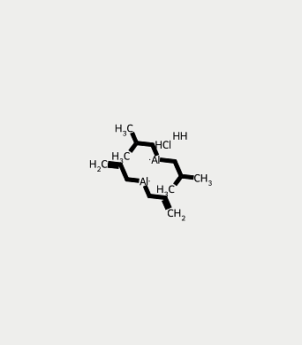 C=C[CH2][Al][CH2]C=C.CC(C)[CH2][Al][CH2]C(C)C.Cl.[HH]